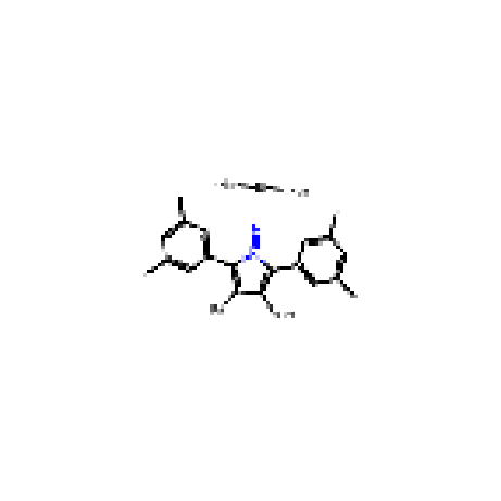 CCCCCCCCC1=C(c2cc(C)cc(C)c2)[N+](=[N-])C(c2cc(C)cc(C)c2)=C1CCCC.CCCCCCCC[CH2][Ni][CH2]CCCCCCCC